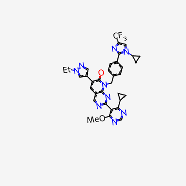 CCn1cc(-c2cc3cnc(-c4c(OC)ncnc4C4CC4)nc3n(Cc3ccc(-c4nc(C(F)(F)F)cn4C4CC4)cc3)c2=O)cn1